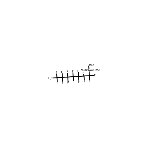 CO[Si](OC)(OC)C(F)(F)C(F)(F)C(F)(F)C(F)(F)C(F)(F)C(F)(F)C(F)(F)C(F)(F)F